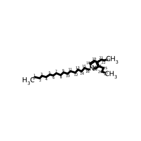 CCCCCCCCCCCCCCCCC[n+]1ccc(CCC)c(CCC)c1